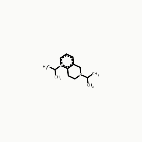 CC(C)N1CCc2c(ccc[n+]2C(C)C)C1